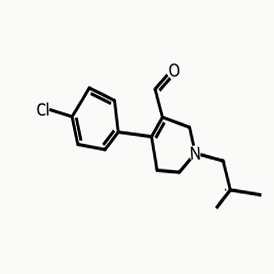 C[C](C)CN1CCC(c2ccc(Cl)cc2)=C(C=O)C1